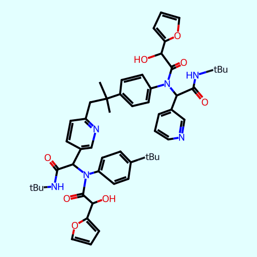 CC(C)(C)NC(=O)C(c1cccnc1)N(C(=O)C(O)c1ccco1)c1ccc(C(C)(C)Cc2ccc(C(C(=O)NC(C)(C)C)N(C(=O)C(O)c3ccco3)c3ccc(C(C)(C)C)cc3)cn2)cc1